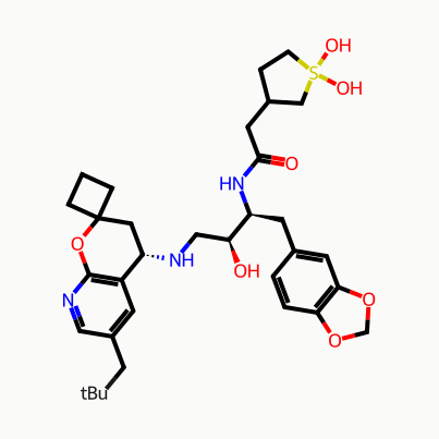 CC(C)(C)Cc1cnc2c(c1)[C@@H](NC[C@H](O)[C@H](Cc1ccc3c(c1)OCO3)NC(=O)CC1CCS(O)(O)C1)CC1(CCC1)O2